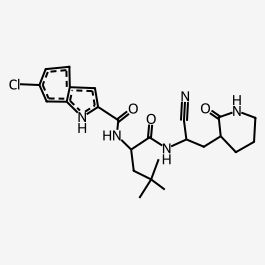 CC(C)(C)CC(NC(=O)c1cc2ccc(Cl)cc2[nH]1)C(=O)NC(C#N)CC1CCCNC1=O